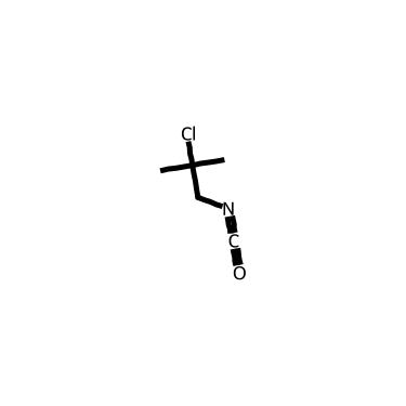 CC(C)(Cl)CN=C=O